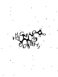 CN1C(C(=O)O)C([N+](=O)[O-])=C(C(N)=O)N1CCOC1CCC1